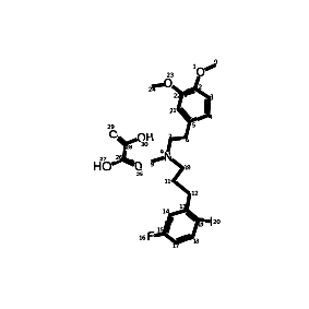 COc1ccc(CCN(C)CCCc2cc(F)ccc2I)cc1OC.O=C(O)C(=O)O